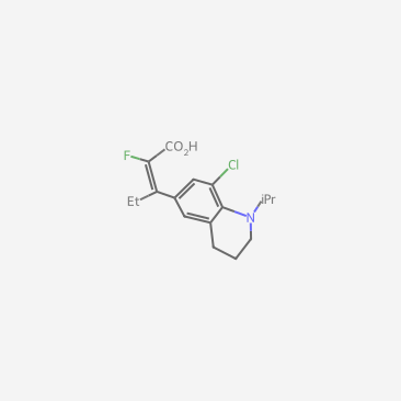 CC/C(=C(\F)C(=O)O)c1cc(Cl)c2c(c1)CCCN2C(C)C